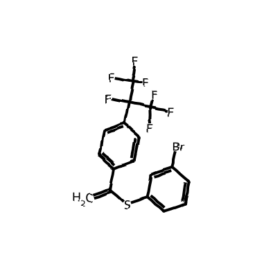 C=C(Sc1cccc(Br)c1)c1ccc(C(F)(C(F)(F)F)C(F)(F)F)cc1